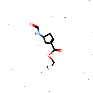 CCOC(=O)C1=CCC(NC=O)C1